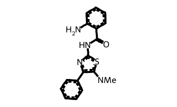 CNc1sc(NC(=O)c2ccccc2N)nc1-c1ccccc1